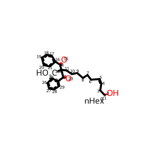 CCCCCC[C@@H](O)C/C=C\CCCCCCC(C(=O)O)(C(=O)c1ccccc1)C(=O)c1ccccc1